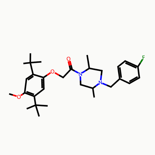 COc1cc(C(C)(C)C)c(OCC(=O)N2CC(C)N(Cc3ccc(F)cc3)CC2C)cc1C(C)(C)C